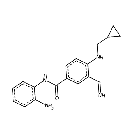 N=Cc1cc(C(=O)Nc2ccccc2N)ccc1NCC1CC1